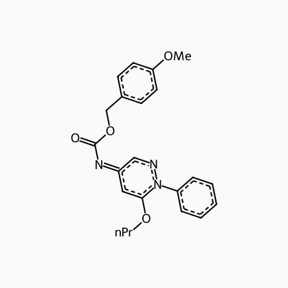 CCCOc1cc(=NC(=O)OCc2ccc(OC)cc2)cnn1-c1ccccc1